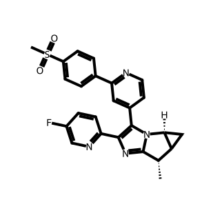 C[C@@H]1c2nc(-c3ccc(F)cn3)c(-c3ccnc(-c4ccc(S(C)(=O)=O)cc4)c3)n2[C@H]2CC12